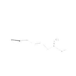 OC(CCl)CSSCC1CO1